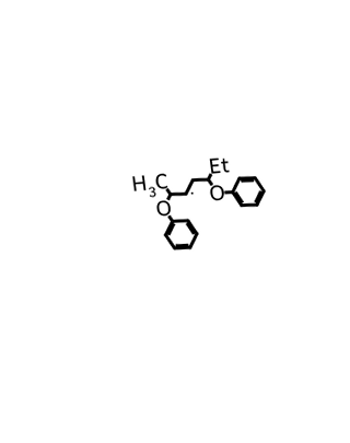 CCC(C[CH]C(C)Oc1ccccc1)Oc1ccccc1